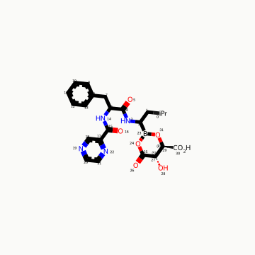 CC(C)CC(NC(=O)C(Cc1ccccc1)NC(=O)c1cnccn1)B1OC(=O)[C@@H](O)[C@H](C(=O)O)O1